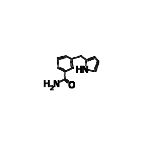 NC(=O)c1cccc(Cc2ccc[nH]2)c1